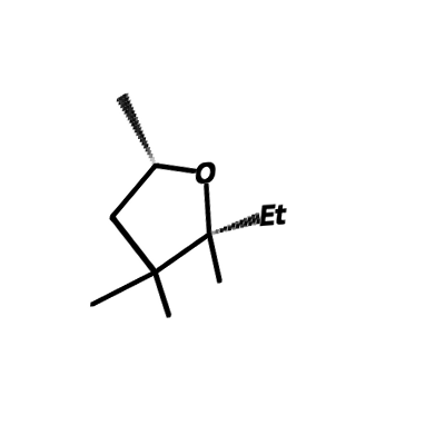 CC[C@@]1(C)O[C@@H](C)CC1(C)C